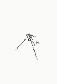 CCCCCCCCCCCCCCCCCc1cccc(N=C(CCCC)C(CCCCCCCC)=Nc2cccc(CCCCCCCCCCCCCCCCC)c2)c1.[Ni]